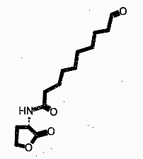 O=CCCCCCCCCC(=O)N[C@H]1CCOC1=O